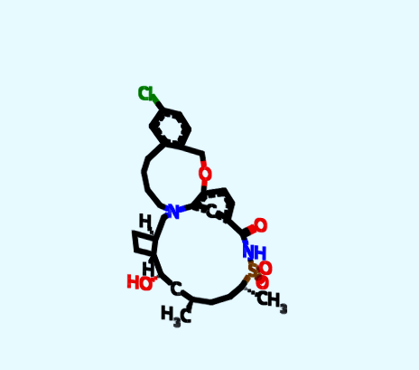 C[C@@H]1CC[C@@H](C)S(=O)(=O)NC(=O)c2ccc3c(c2)N(CCCCc2cc(Cl)ccc2CO3)C[C@@H]2CC[C@H]2[C@@H](O)C1